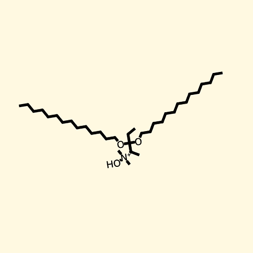 CCCCCCCCCCCCCCOC(CC)(OCCCCCCCCCCCCCC)C(C)[N+](C)(C)O